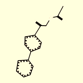 CC(=O)OCC(=O)c1ccc(-c2ccccc2)cc1